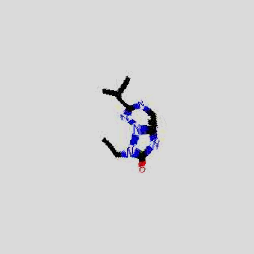 CCn1c(=O)nc2cnc(C(C)C)nn21